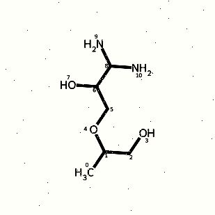 CC(CO)OCC(O)C(N)N